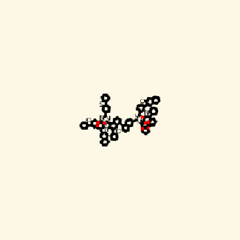 c1ccc2cc3c(cc2c1)oc1ccc(-c2nc(-c4ccc5c(-c6cccc7c(-c8nc(-c9ccc%10c(c9)oc9ccccc9%10)nc(-c9ccc%10c(c9)sc9ccccc9%10)n8)c(-n8c9ccccc9c9cc%10ccccc%10cc98)c8c9ccccc9oc8c67)cccc5c4)nc(-n4c5ccccc5c5ccccc54)n2)c(-n2c4ccccc4c4cc5ccccc5cc42)c13